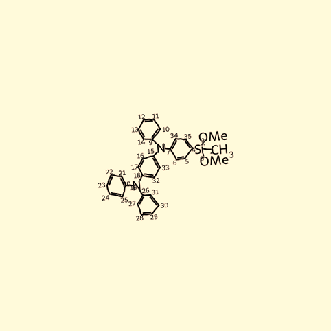 CO[Si](C)(OC)c1ccc(N(c2ccccc2)c2ccc(N(c3ccccc3)c3ccccc3)cc2)cc1